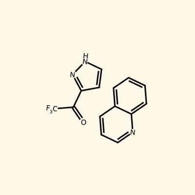 O=C(c1cc[nH]n1)C(F)(F)F.c1ccc2ncccc2c1